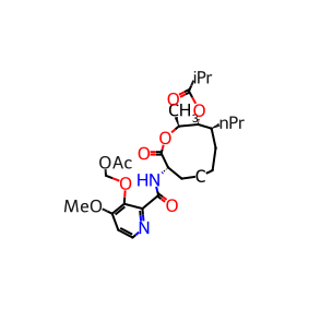 CCC[C@H]1CCCC[C@H](NC(=O)c2nccc(OC)c2OCOC(C)=O)C(=O)O[C@@H](C)[C@@H]1OC(=O)C(C)C